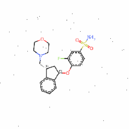 NS(=O)(=O)c1ccc(O[C@@H]2C[C@@H](CN3CCOCC3)c3ccccc32)c(F)c1